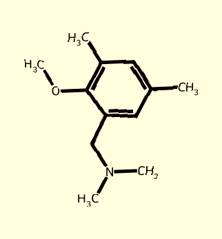 COc1c(C)cc(C)cc1CN(C)C